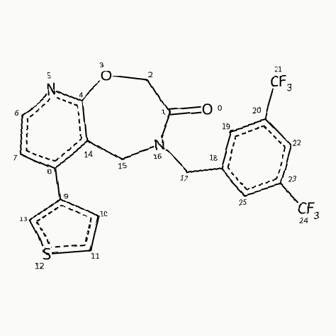 O=C1COc2nccc(-c3ccsc3)c2CN1Cc1cc(C(F)(F)F)cc(C(F)(F)F)c1